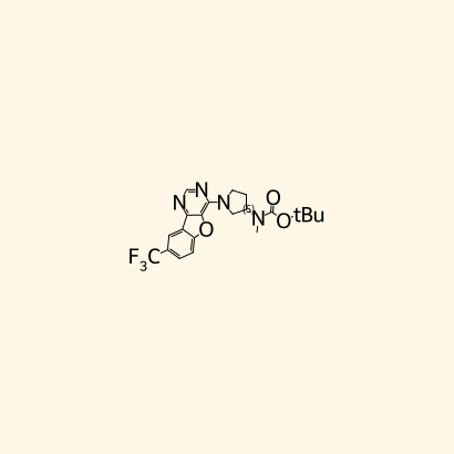 CN(C(=O)OC(C)(C)C)[C@H]1CCN(c2ncnc3c2oc2ccc(C(F)(F)F)cc23)C1